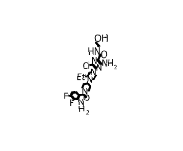 CC[C@H]1CN(c2nc(N)c(C(=O)NCCO)nc2Cl)CCN1C1CCN(C(=O)c2ccc(F)c(F)c2N)CC1